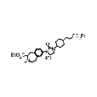 CCOC(=O)CC[C@H]1CC[C@H](N2CCN(c3ccc4c(c3)CCN(C)C(C(=O)OCC)C4)C2=O)CC1.Cl